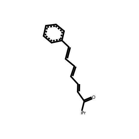 CC(C)C(=O)/C=C/C=C/C=C/c1ccccc1